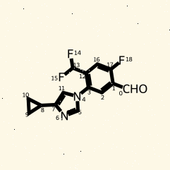 O=Cc1cc(-n2cnc(C3CC3)c2)c(C(F)F)cc1F